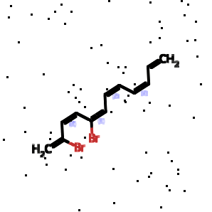 C=C\C=C/C=C\C=C(Br)/C=C\C(=C)Br